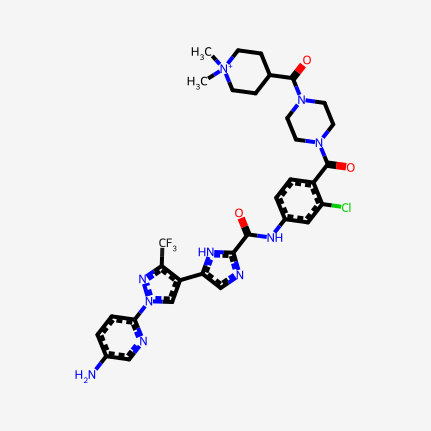 C[N+]1(C)CCC(C(=O)N2CCN(C(=O)c3ccc(NC(=O)c4ncc(-c5cn(-c6ccc(N)cn6)nc5C(F)(F)F)[nH]4)cc3Cl)CC2)CC1